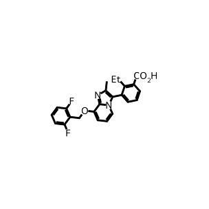 CCc1c(C(=O)O)cccc1-c1c(C)nc2c(OCc3c(F)cccc3F)cccn12